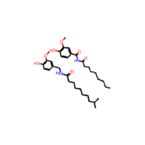 CCCCCCCCC(=O)NC(=O)c1ccc(O)c(OC)c1.COc1cc(CNC(=O)CCCCCCCC(C)C)ccc1O